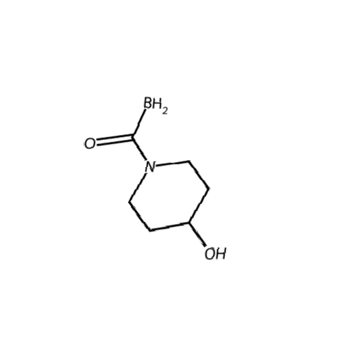 BC(=O)N1CCC(O)CC1